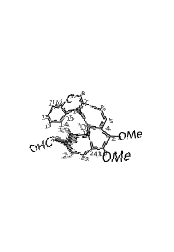 COc1c(OC)c2ccc3ccc4ccccc4c3c2c2cc(C=O)ccc12